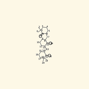 CC1(C)CCCC(CC2CCCC(CC3CCCC(C)(C)C3=O)C2=O)C1=O